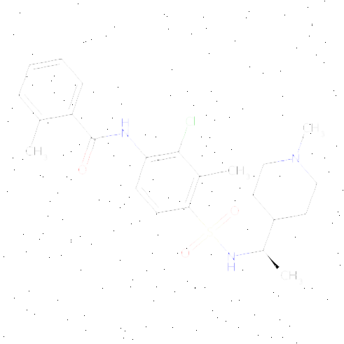 Cc1ccccc1C(=O)Nc1ccc(S(=O)(=O)N[C@H](C)C2CCN(C)CC2)c(C)c1Cl